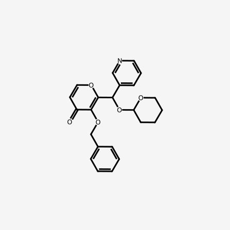 O=c1ccoc(C(OC2CCCCO2)c2cccnc2)c1OCc1ccccc1